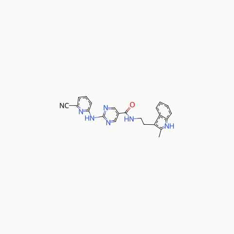 Cc1[nH]c2ccccc2c1CCNC(=O)c1cnc(Nc2cccc(C#N)n2)nc1